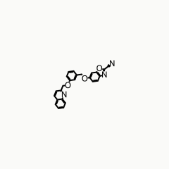 N#Cc1nc2ccc(OCc3cccc(OCc4ccc5ccccc5n4)c3)cc2o1